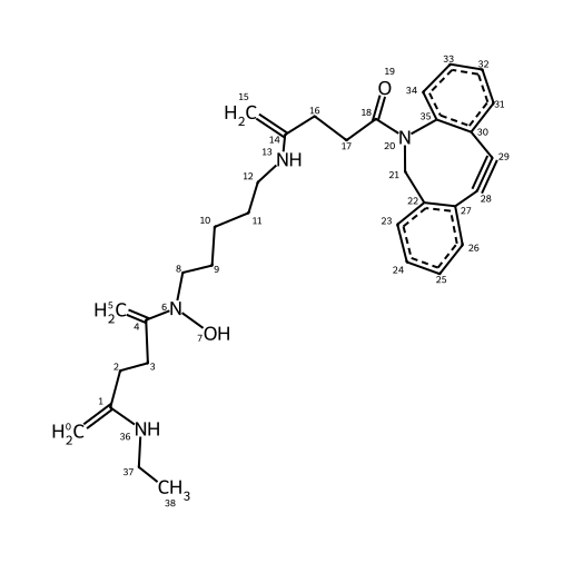 C=C(CCC(=C)N(O)CCCCCNC(=C)CCC(=O)N1Cc2ccccc2C#Cc2ccccc21)NCC